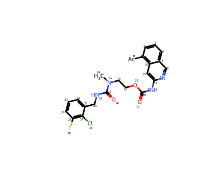 CC(=O)c1cccc2cnc(NC(=O)OCCN(C)C(=O)NCc3cccc(F)c3Cl)cc12